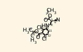 CCOC(=O)C(C#N)=CNc1ccc(Cl)c(C(=O)OC(C)C)c1Cl